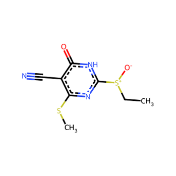 CC[S+]([O-])c1nc(SC)c(C#N)c(=O)[nH]1